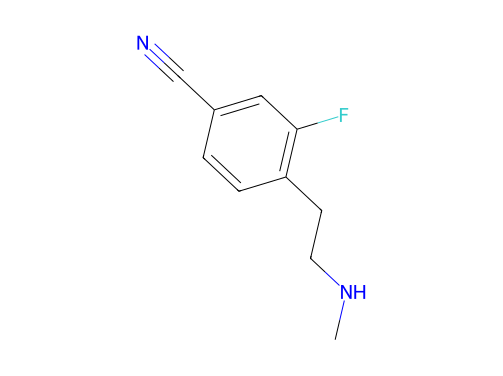 CNCCc1ccc(C#N)cc1F